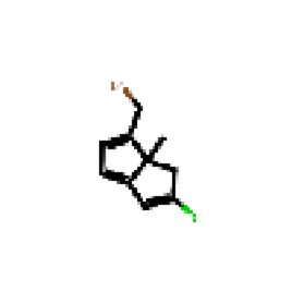 CC12CC(Cl)=CC1=CC=C2CBr